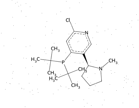 CN1CCC[C@H]1c1cnc(Cl)cc1P(C(C)(C)C)C(C)(C)C